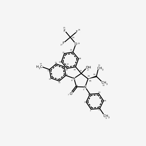 Cc1ccc(N2C(=O)N(c3ccc(C)cc3)C(O)(c3cccc(OC(F)(F)F)c3)[C@H]2C(C)C)cc1